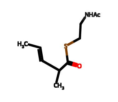 C/C=C/C(C)C(=O)SCCNC(C)=O